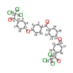 O=C(c1ccc(Oc2ccc(C(=O)C(Cl)(Cl)Cl)cc2)cc1)c1ccc(Oc2ccc(C(=O)C(Cl)(Cl)Cl)cc2)cc1